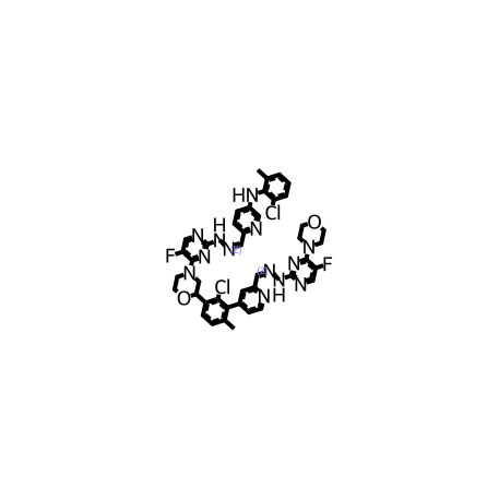 Cc1cccc(Cl)c1Nc1ccc(/C=N\Nc2ncc(F)c(N3CCOC(c4ccc(C)c(-c5ccnc(/C=N\Nc6ncc(F)c(N7CCOCC7)n6)c5)c4Cl)C3)n2)nc1